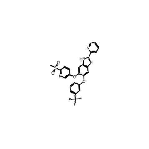 CS(=O)(=O)c1ccc(Oc2cc3[nH]c(-c4ccccn4)nc3cc2Oc2cccc(C(F)(F)F)c2)cn1